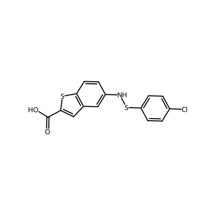 O=C(O)c1cc2cc(NSc3ccc(Cl)cc3)ccc2s1